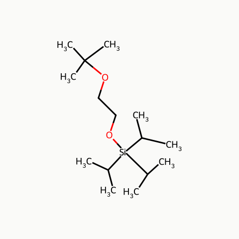 CC(C)[Si](OCCOC(C)(C)C)(C(C)C)C(C)C